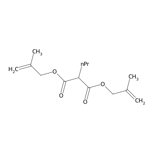 C=C(C)COC(=O)C(CCC)C(=O)OCC(=C)C